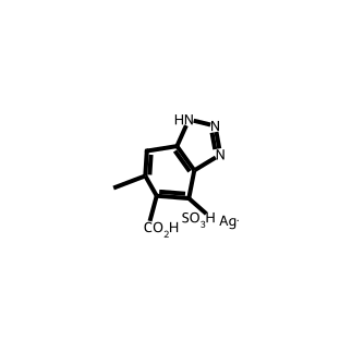 Cc1cc2[nH]nnc2c(S(=O)(=O)O)c1C(=O)O.[Ag]